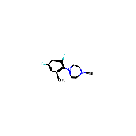 CC(C)(C)N1CCN(c2c(F)cc(F)cc2C=O)CC1